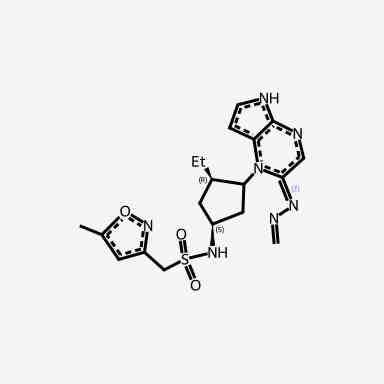 C=N/N=c1/cnc2[nH]ccc2n1C1C[C@@H](NS(=O)(=O)Cc2cc(C)on2)C[C@H]1CC